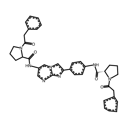 O=C(Nc1cnc2nc(-c3ccc(NC(=O)[C@@H]4CCCN4C(=O)Cc4ccccc4)cc3)cn2c1)C1CCCN1C(=O)Cc1ccccc1